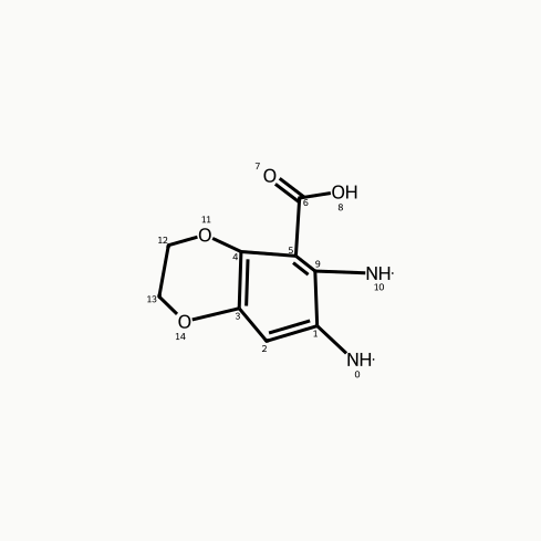 [NH]c1cc2c(c(C(=O)O)c1[NH])OCCO2